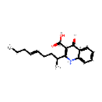 CCCC=CCCC(C)c1[nH]c2ccccc2c(=O)c1C(=O)O